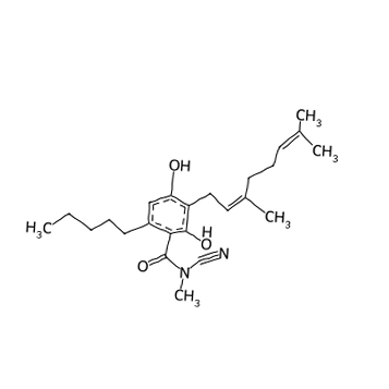 CCCCCc1cc(O)c(CC=C(C)CCC=C(C)C)c(O)c1C(=O)N(C)C#N